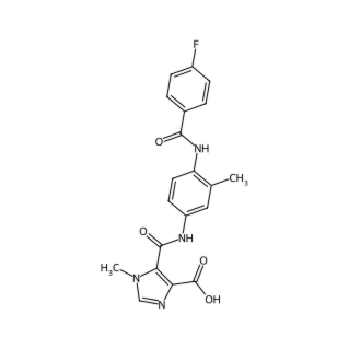 Cc1cc(NC(=O)c2c(C(=O)O)ncn2C)ccc1NC(=O)c1ccc(F)cc1